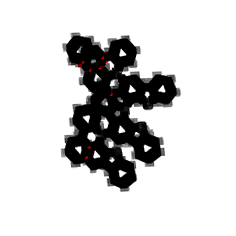 Cc1ccc2c(oc3ccccc32)c1N(c1ccccc1-c1ccccc1)c1cc2c3ccccc3oc2c2c1c1cccc3c4c(N(c5ccccc5-c5ccccc5)c5c(C)ccc6c5oc5ccccc56)cc5c6ccccc6oc5c4n2c13